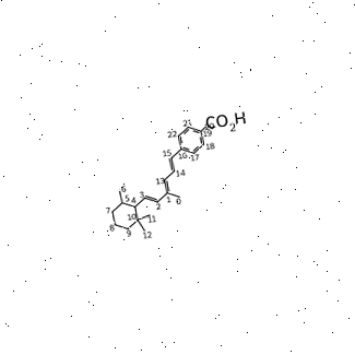 CC(C=CC1C(C)CCCC1(C)C)=CC=Cc1ccc(C(=O)O)cc1